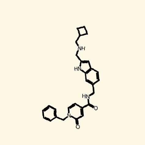 O=C(NCc1ccc2cc(CNCC3CCC3)[nH]c2c1)c1ccn(Cc2ccccc2)c(=O)c1